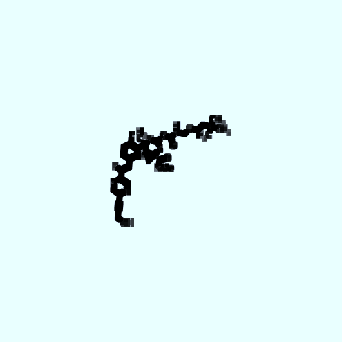 CNC(=O)[C@]12C[C@H]1[C@@](C)(c1cc(/C=C(\F)c3cnc(C#CCO)cn3)ccc1F)N=C(OC(=O)NCOCC[Si](C)(C)C)S2